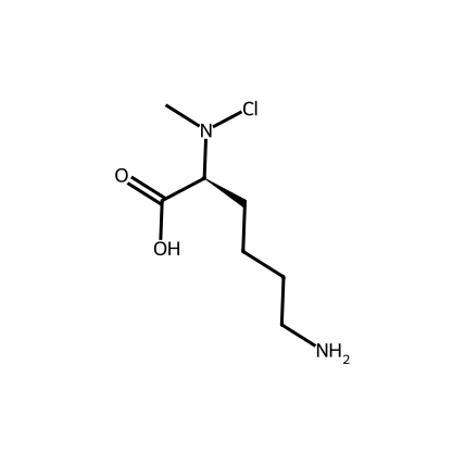 CN(Cl)[C@@H](CCCCN)C(=O)O